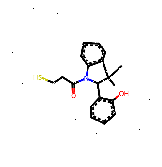 CC1(C)c2ccccc2N(C(=O)CCS)C1c1ccccc1O